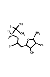 B[C@@H]1O[C@H](CC(CC)OP(=O)(O)C(C)(O)CC)C(O)[C@@H]1O